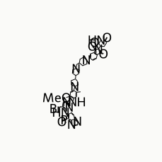 COc1cc(N2CCC(C3CCN(CC4CCN(c5ccc6c(c5)C(=O)N(C5CCC(=O)NC5=O)C6=O)CC4)CC3)CC2)c(C)cc1Nc1ncc(Br)c(Nc2ccc3nccnc3c2P(C)(C)=O)n1